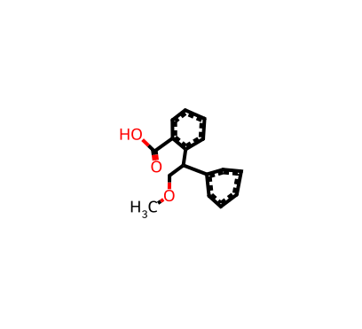 COCC(c1ccccc1)c1ccccc1C(=O)O